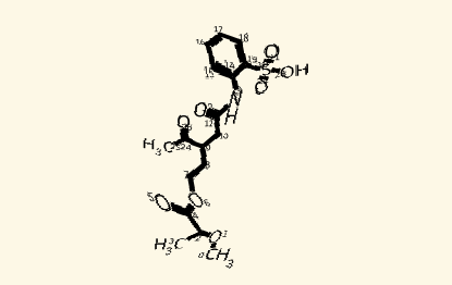 COC(C)C(=O)OCCC(CC(=O)Nc1ccccc1S(=O)(=O)O)C(C)=O